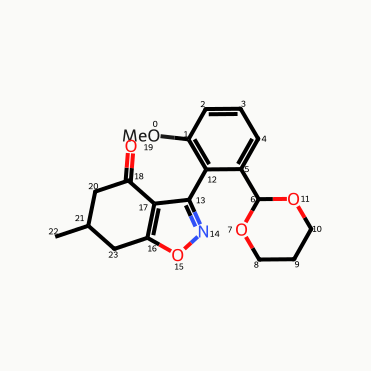 COc1cccc(C2OCCCO2)c1-c1noc2c1C(=O)CC(C)C2